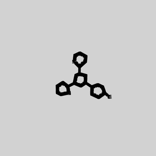 Clc1ccc(-c2cc(-c3ccccn3)cc(-c3ccccn3)c2)cc1